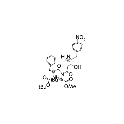 CC[C@H](C)[C@@H](C(=O)OC)N(C(=O)CC(O)[C@@H](N)Cc1ccc([N+](=O)[O-])cc1)C(=O)[C@H](Cc1ccccc1)NC(=O)OC(C)(C)C